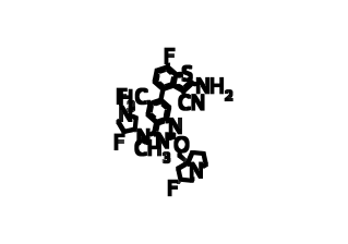 CN(c1nc(OC[C@@]23CCCN2C[C@H](F)C3)nc2cc(-c3ccc(F)c4sc(N)c(C#N)c34)c(C(F)(F)F)cc12)[C@H]1CNC[C@H]1F